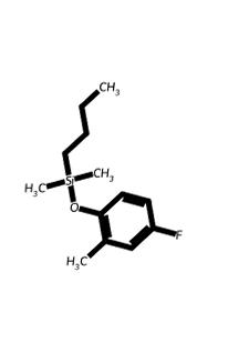 CCCC[Si](C)(C)Oc1ccc(F)cc1C